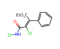 CCOC(=O)C(=C(Cl)C(=O)NCl)c1ccccc1